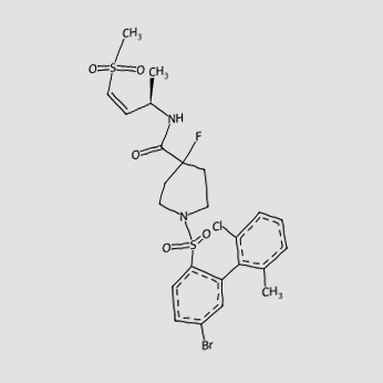 Cc1cccc(Cl)c1-c1cc(Br)ccc1S(=O)(=O)N1CCC(F)(C(=O)N[C@H](C)/C=C\S(C)(=O)=O)CC1